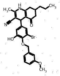 CCCC1CC(=O)C2=C(C1)NC(C)=C(C#N)C2c1cc(O)c(OCc2cccc(OC)c2)c(Br)c1